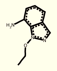 CCOn1ncc2cccc(N)c21